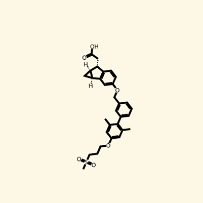 Cc1cc(OCCCS(C)(=O)=O)cc(C)c1-c1cccc(COc2ccc3c(c2)[C@H]2C[C@H]2[C@@H]3CC(=O)O)c1